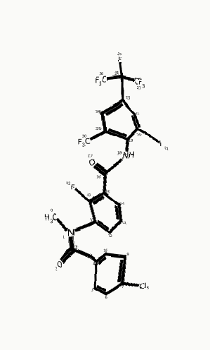 CN(C(=O)c1ccc(Cl)cc1)c1cccc(C(=O)Nc2c(I)cc(C(F)(C(F)(F)F)C(F)(F)F)cc2C(F)(F)F)c1F